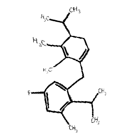 CC1=C(C)C(C(C)C)CC=C1Cc1cc(F)cc(C)c1C(C)C